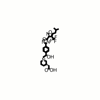 CC(C)Cc1onc(-c2nc(-c3ccc([C@@H](O)CN4CCC[C@H](CC(=O)O)C4)cc3)no2)c1C(F)(F)F